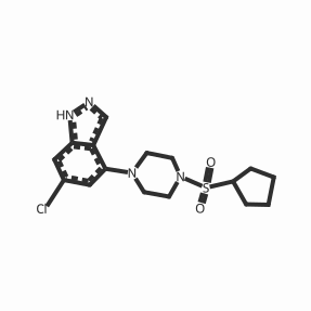 O=S(=O)(C1CCCC1)N1CCN(c2cc(Cl)cc3[nH]ncc23)CC1